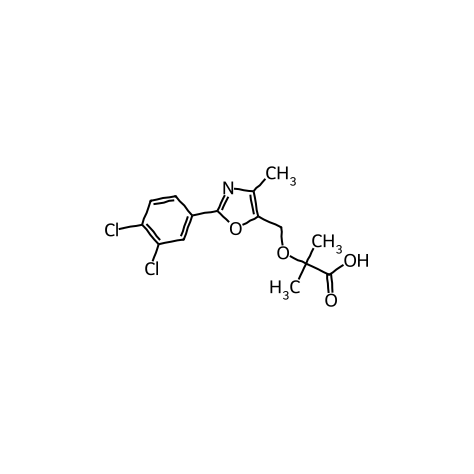 Cc1nc(-c2ccc(Cl)c(Cl)c2)oc1COC(C)(C)C(=O)O